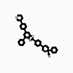 N#CC1(c2ccccc2)C=CC(c2ccc(-c3nc4c(-c5ccccc5)cc(-c5ccc(-c6cccnc6)cc5)cc4o3)cc2)=CC1